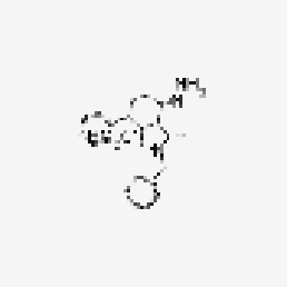 CC1C2C(=NN)CCC(c3ccccc3)C2(C(=O)O)CN1Cc1ccccc1